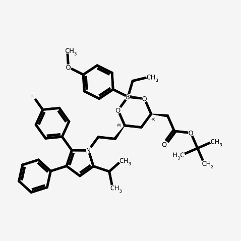 CC[B-]1(c2ccc(OC)cc2)O[C@H](CCn2c(C(C)C)cc(-c3ccccc3)c2-c2ccc(F)cc2)C[C@H](CC(=O)OC(C)(C)C)O1